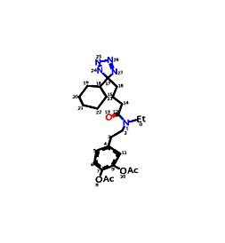 CCN(CCc1ccc(OC(C)=O)c(OC(C)=O)c1)C(=O)CCCC1(C2CCCCC2)N=NN=N1